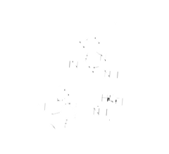 Cl.Cl.N[C@H]1CC[C@H](Nc2nc(NC3CCN(S(=O)(=O)c4c(Cl)cccc4Cl)CC3)c3ncn(C4CCCC4)c3n2)CC1